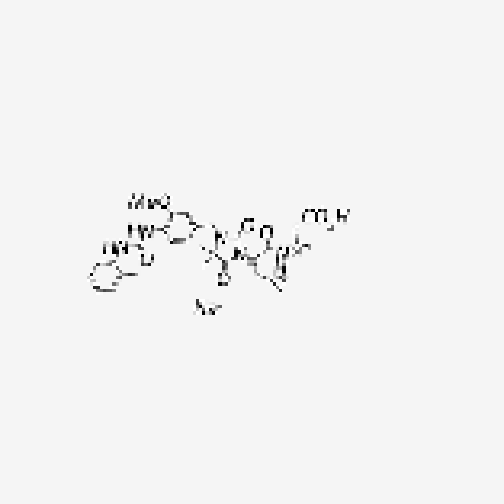 COc1cc(CN2C(=O)N([C@@H](CC3CC3)C(=O)N[C@H](C)CC(=O)O)C(=O)C2(C)C)ccc1NC(=O)Nc1ccccc1C.[Na]